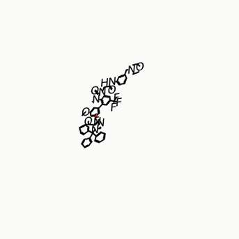 COc1cc(-c2cc(C(F)(F)F)cc3c2n(C)c(=O)n3CC(=O)Nc2cccc(CN3CCOCC3)c2)cc(F)c1OCc1nncn1C(c1ccccc1)(c1ccccc1)c1ccccc1